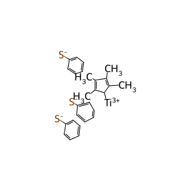 CC1=C(C)[CH]([Ti+3])C(C)=C1C.[S-]c1ccccc1.[S-]c1ccccc1.[S-]c1ccccc1